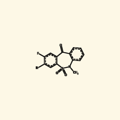 CN1c2ccccc2C(=O)c2cc(F)c(Br)cc2S1(=O)=O